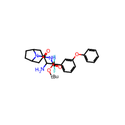 CC(C)(C)OC(=O)NC1CC2CCC(C1)N2C(=O)C(N)C(F)(F)c1cccc(Oc2ccccc2)c1